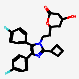 O=C1CC(O)CC(CCn2c(C3CCC3)nc(-c3ccc(F)cc3)c2-c2ccc(F)cc2)O1